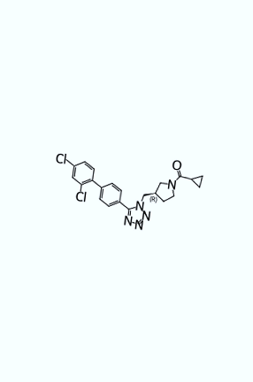 O=C(C1CC1)N1CC[C@@H](Cn2nnnc2-c2ccc(-c3ccc(Cl)cc3Cl)cc2)C1